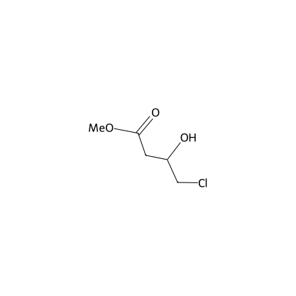 COC(=O)CC(O)CCl